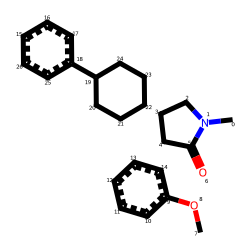 CN1CCCC1=O.COc1ccccc1.c1ccc(C2CCCCC2)cc1